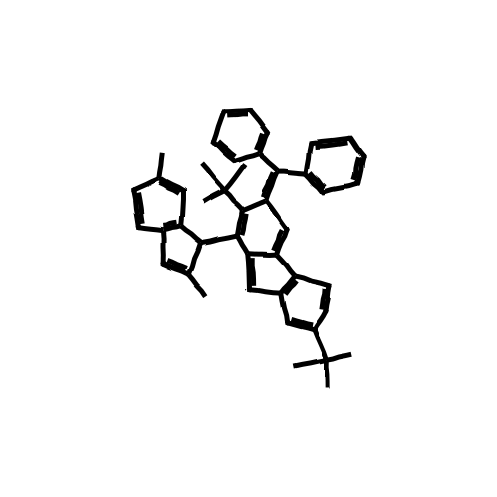 CC1=Cc2ccc(C)cc2C1c1c(C(C)(C)C)c(=C(c2ccccc2)c2ccccc2)cc2c1=[C]c1cc(C(C)(C)C)ccc1-2